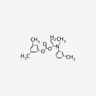 CCN(c1cccc(C)c1)C(C)OC(=O)Oc1cc(C)cc(C)c1